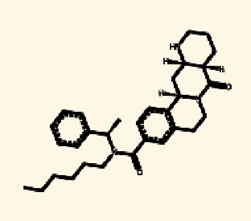 CCCCCCN(C(=O)c1ccc2c(c1)CCN1C(=O)[C@H]3CCCN[C@H]3C[C@@H]21)[C@H](C)c1ccccc1